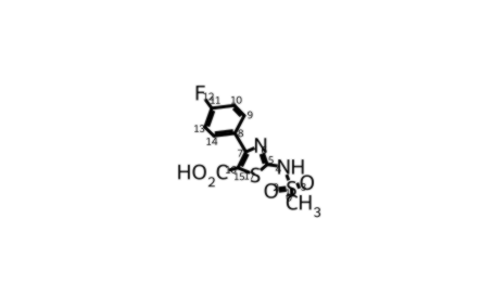 CS(=O)(=O)Nc1nc(-c2ccc(F)cc2)c(C(=O)O)s1